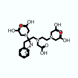 O=C(O)CN(CCN(CC(=O)O)CC(Cc1ccccc1)(N=C=S)N(CC(=O)O)CC(=O)O)CC(=O)O